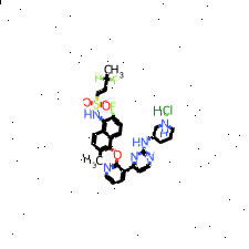 Cc1ccc2c(NS(=O)(=O)CCC(C)(F)F)c(F)ccc2c1Oc1ncccc1-c1ccnc(NC2CCCNC2)n1.Cl